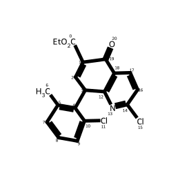 CCOC(=O)C1=CC(c2c(C)cccc2Cl)c2nc(Cl)ccc2C1=O